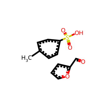 Cc1ccc(S(=O)(=O)O)cc1.O=Cc1ccco1